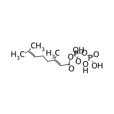 CC(C)=CCC/C(C)=C/C(=O)OP(=O)(O)OP(=O)(O)O